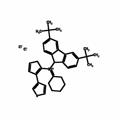 CC(C)(C)c1ccc2c(c1)-c1cc(C(C)(C)C)ccc1[CH]2[Zr+2]([C]1=C(c2ccsc2)C=CC1)=[C]1CCCCC1.[Cl-].[Cl-]